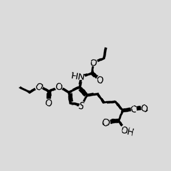 CCOC(=O)Nc1c(OC(=O)OCC)csc1CCCC(=C=O)C(=O)O